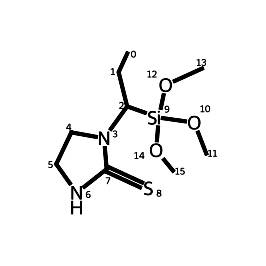 CCC(N1CCNC1=S)[Si](OC)(OC)OC